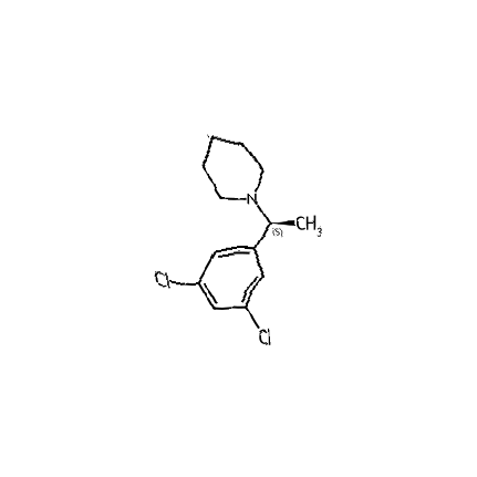 C[C@@H](c1cc(Cl)cc(Cl)c1)N1CC[CH]CC1